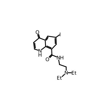 CCN(CC)CCNC(=O)c1cc(I)cc2c(=O)cc[nH]c12